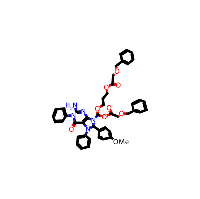 COc1ccc(C2N(c3ccccc3)c3c(nc(N)n(-c4ccccc4)c3=O)N2C(OCCCOC(=O)COCc2ccccc2)OC(=O)COCc2ccccc2)cc1